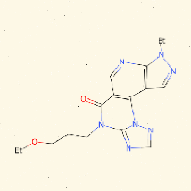 CCOCCCn1c(=O)c2cnc3c(cnn3CC)c2n2ncnc12